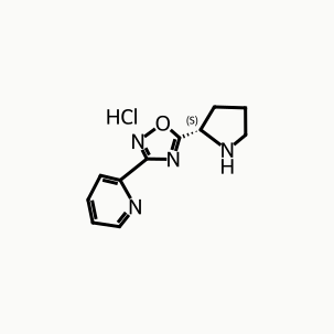 Cl.c1ccc(-c2noc([C@@H]3CCCN3)n2)nc1